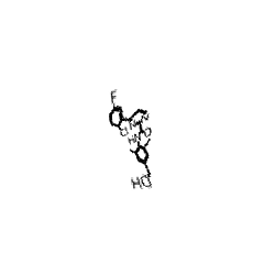 Cc1cc(CO)cc(C)c1NC(=O)c1nccc(-c2cc(F)ccc2Cl)n1